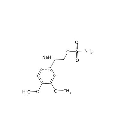 COc1ccc(CCOS(N)(=O)=O)cc1OC.[NaH]